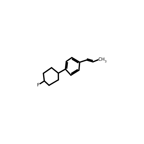 CC=Cc1ccc(C2CCC(F)CC2)cc1